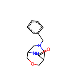 O=C1NC2COCC1CN(Cc1ccccc1)C2